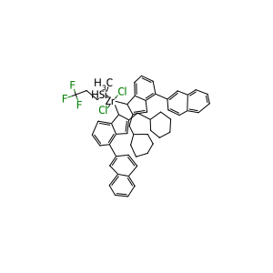 C[SiH](CCC(F)(F)F)[Zr]([Cl])([Cl])([CH]1C(CC2CCCCC2)=Cc2c(-c3ccc4ccccc4c3)cccc21)[CH]1C(CC2CCCCC2)=Cc2c(-c3ccc4ccccc4c3)cccc21